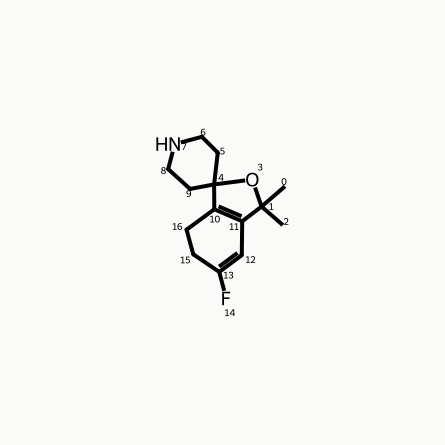 CC1(C)OC2(CCNCC2)C2=C1C=C(F)CC2